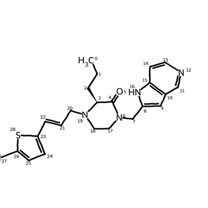 CCC[C@H]1C(=O)N(Cc2cc3cnccc3[nH]2)CCN1CC=Cc1ccc(Cl)s1